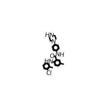 Cc1ccc(Nc2cccc(Cl)c2C)c(C(=O)Nc2ccc(N3CCNCC3)cc2)c1